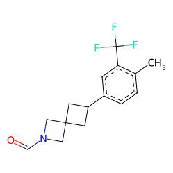 Cc1ccc(C2CC3(C2)CN(C=O)C3)cc1C(F)(F)F